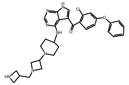 O=C(c1ccc(Oc2ccccc2)cc1Cl)c1c[nH]c2ncnc(NC3CCN(C4CN(CC5CNC5)C4)CC3)c12